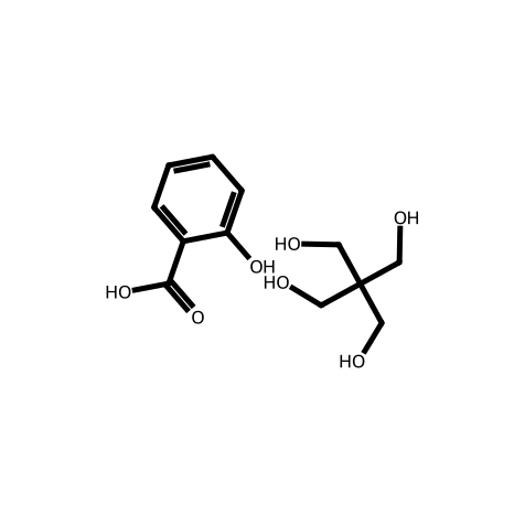 O=C(O)c1ccccc1O.OCC(CO)(CO)CO